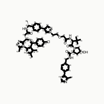 Cc1ncsc1-c1ccc(CNC(=O)[C@@H]2C[C@@H](O)CN2C(=O)C(NC(=O)COCCn2cc(-c3ccc([C@@H](C)NC(=O)C[C@@H]4N=C(c5ccc(Cl)cc5)c5c(sc(C)c5C)-n5c(C)nnc54)cc3)cn2)C(C)(C)C)cc1